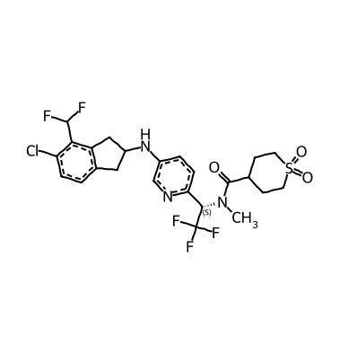 CN(C(=O)C1CCS(=O)(=O)CC1)[C@@H](c1ccc(NC2Cc3ccc(Cl)c(C(F)F)c3C2)cn1)C(F)(F)F